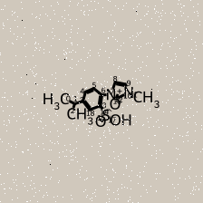 CC(C)c1ccc(-[n+]2ccn(C)c2)c(S(=O)(=O)O)c1